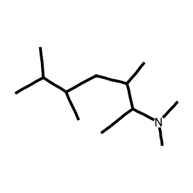 CC(C)C(C)CC(C)C(C)N(C)C